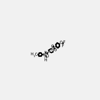 Cc1ccc(N2N=C(N3CCN(S(=O)(=O)c4ccc(OC(F)F)cc4)CC3)ON2)cc1